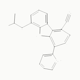 CC(C)Cc1cccc2c1oc1c(-c3ccccn3)ccc(C#N)c12